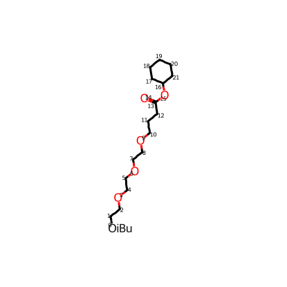 CC(C)COCCOCCOCCOCCCC(=O)OC1CCCCC1